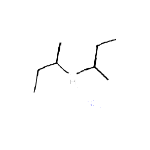 CCC(C)[SiH2]C(C)CC.N